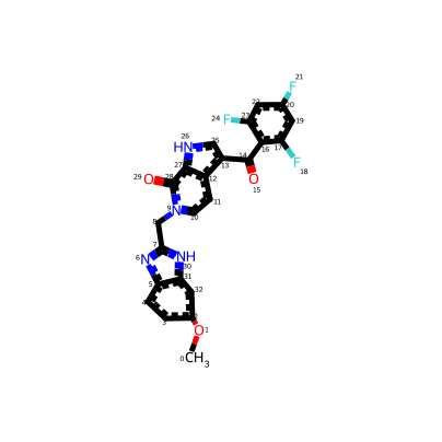 COc1ccc2nc(Cn3ccc4c(C(=O)c5c(F)cc(F)cc5F)c[nH]c4c3=O)[nH]c2c1